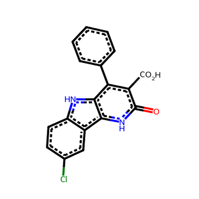 O=C(O)c1c(-c2ccccc2)c2[nH]c3ccc(Cl)cc3c2[nH]c1=O